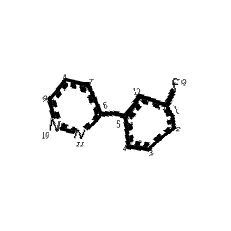 Fc1cccc(-c2cccnn2)c1